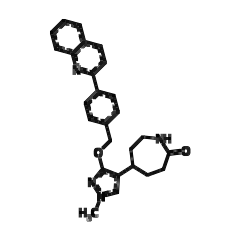 Cn1cc(C2CCNC(=O)CC2)c(OCc2ccc(-c3ccc4ccccc4n3)cc2)n1